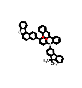 CC1(C)c2ccccc2-c2cc(N(c3ccc(-c4ccc5c(ccc6oc7ccccc7c65)c4)cc3)c3ccccc3-c3ccc4ccccc4c3)ccc21